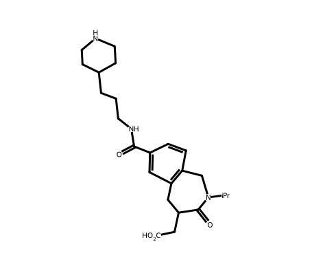 CC(C)N1Cc2ccc(C(=O)NCCCC3CCNCC3)cc2CC(CC(=O)O)C1=O